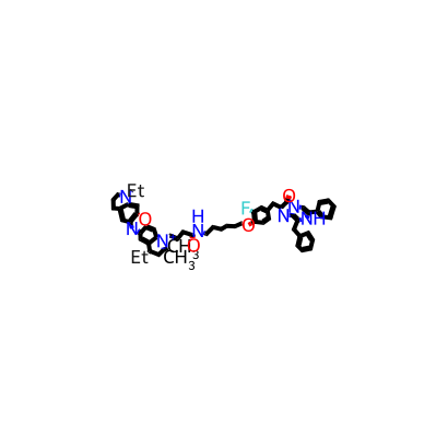 CCC1CC(C)(C)[N+](CCCC(=O)NCCCCCCOc2ccc(Cc3nc4c(Cc5ccccc5)[nH]c(-c5ccccc5)cn-4c3=O)cc2F)=c2cc3c(cc21)=Nc1cc2c(cc1O3)N(CC)CCC2